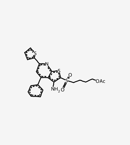 CC(=O)OCCCCS(=O)(=O)c1sc2nc(-c3cccs3)cc(-c3ccccc3)c2c1N